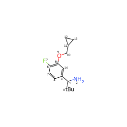 CC(C)(C)C(N)c1ccc(F)c(OCC2CC2)c1